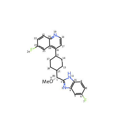 CO[C@@H](c1nc2cc(F)ccc2[nH]1)C1CCC(c2ccnc3ccc(F)cc23)CC1